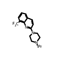 CC(C)N1CCN(c2ccc3cccc(C(F)(F)F)c3n2)CC1